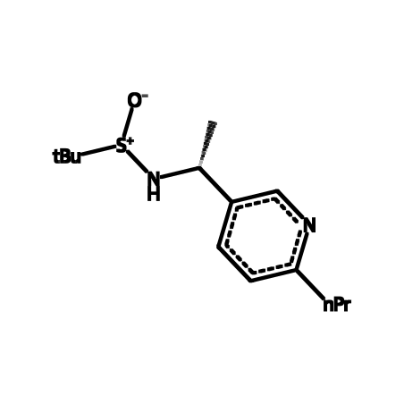 CCCc1ccc([C@@H](C)N[S+]([O-])C(C)(C)C)cn1